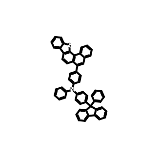 c1ccc(N(c2ccc(-c3cc4ccccc4c4c3ccc3c5ccccc5sc34)cc2)c2ccc(C3(c4ccccc4)c4ccccc4-c4ccccc43)cc2)cc1